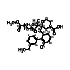 CCc1cccc(-c2c(Cl)cccc2[C@H](OCCNC(=O)OC)[C@@]2(C(C)(C)C)CN(C(=O)O)CCO2)c1